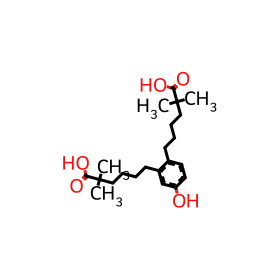 CC(C)(CCCCc1ccc(O)cc1CCCCC(C)(C)C(=O)O)C(=O)O